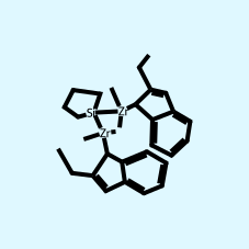 CCC1=Cc2ccccc2[CH]1[Zr]([CH3])([CH3])[Si]1([Zr]([CH3])([CH3])[CH]2C(CC)=Cc3ccccc32)CCCC1